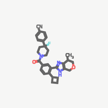 CC1COCc2[nH]c(-c3cc(C(=O)N4CCC(F)(c5ccc(C#N)cc5)CC4)ccc3C3CCC3)nc21